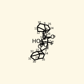 CC1(OC(=O)COC23CC4CC(C2)C(OC(=O)C(F)(F)S(=O)(=O)O)C(C4)C3)C2CC3CC(C2)CC1C3